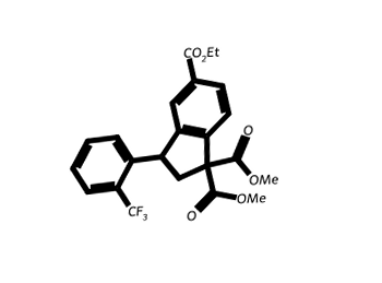 CCOC(=O)c1ccc2c(c1)C(c1ccccc1C(F)(F)F)CC2(C(=O)OC)C(=O)OC